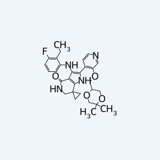 CCc1c(F)cccc1Nc1c(-c2ccncc2OCC2COC(C)(C)CO2)[nH]c2c1C(=O)NCC21CC1